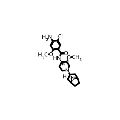 COc1cc(N)c(Cl)cc1C(=O)N[C@@H]1CCN(C2CC3CCC(C2)N3C)C[C@@H]1OC